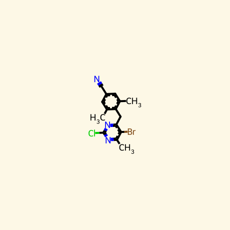 Cc1cc(C#N)cc(C)c1Cc1nc(Cl)nc(C)c1Br